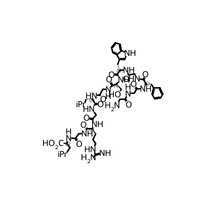 CC(C)C[C@H](NC(=O)CNC(=O)[C@H](CCCNC(=N)N)NC(=O)CNC(=O)[C@H](CC(C)C)NC(=O)CNC(=O)[C@H](CO)NC(=O)[C@H](Cc1c[nH]c2ccccc12)NC(=O)CNC(=O)[C@H](Cc1ccccc1)NC(=O)CNC(=O)CN)C(=O)O